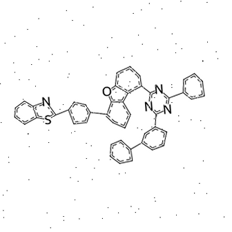 c1ccc(-c2cccc(-c3nc(-c4ccccc4)nc(-c4cccc5oc6c(-c7ccc(-c8nc9ccccc9s8)cc7)cccc6c45)n3)c2)cc1